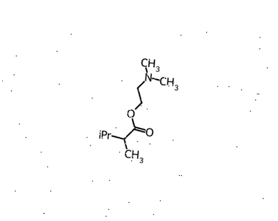 CC(C)C(C)C(=O)OCCN(C)C